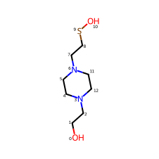 OCCN1CCN(CCSO)CC1